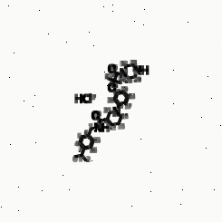 CC(C)c1ccc(CNC(=O)C2CCCN(c3cccc(OC(C)(C)C(=O)N4CCNCC4)c3)C2)cc1.Cl